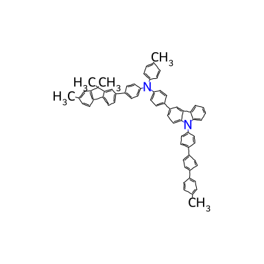 Cc1ccc(-c2ccc(-c3ccc(-n4c5ccccc5c5cc(-c6ccc(N(c7ccc(C)cc7)c7ccc(-c8ccc9c(c8)C(C)(C)c8cc(C)ccc8-9)cc7)cc6)ccc54)cc3)cc2)cc1